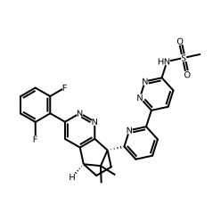 CC1(C)[C@H]2CC[C@]1(c1cccc(-c3ccc(NS(C)(=O)=O)nn3)n1)c1nnc(-c3c(F)cccc3F)cc12